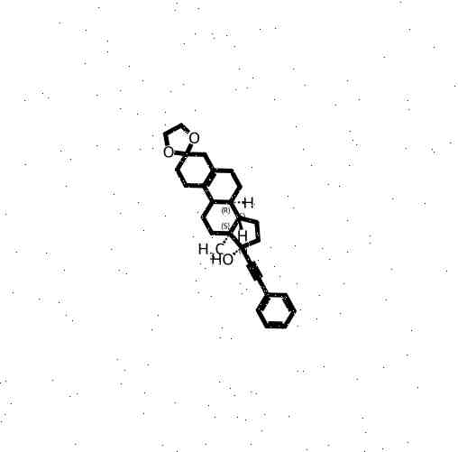 C[C@]12CCC3C4=C(CC[C@H]3[C@@H]1CC[C@@]2(O)C#Cc1ccccc1)CC1(CC4)OCCO1